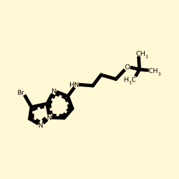 CC(C)(C)OCCCNc1ccn2ncc(Br)c2n1